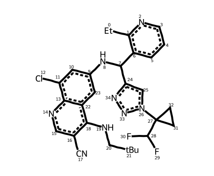 CCc1ncccc1C(Nc1cc(Cl)c2ncc(C#N)c(NCC(C)(C)C)c2c1)c1cn(C2(C(F)F)CC2)nn1